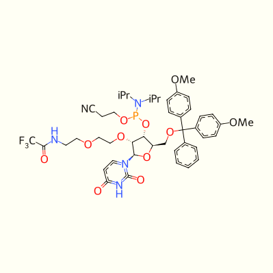 COc1ccc(C(OC[C@H]2O[C@@H](n3ccc(=O)[nH]c3=O)[C@H](OCCOCCNC(=O)C(F)(F)F)[C@@H]2OP(OCCC#N)N(C(C)C)C(C)C)(c2ccccc2)c2ccc(OC)cc2)cc1